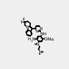 COc1cc(N(C)CCN(C)C)c(N)cc1Nc1nccc(-c2c3n(c4ccccc24)CC(F)(F)CC3)n1